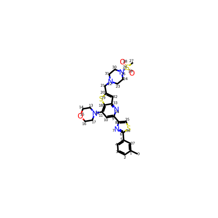 Cc1cccc(-c2nc(-c3cc(N4CCOCC4)c4sc(CN5CCN(S(C)(=O)=O)CC5)cc4n3)cs2)c1